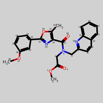 COC(=O)CN(Cc1ccc2ccccc2n1)C(=O)c1nc(-c2cccc(OC)c2)oc1C